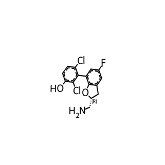 NC[C@H]1Cc2cc(F)cc(-c3c(Cl)ccc(O)c3Cl)c2O1